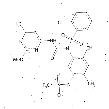 COc1nc(C)nc(NC(=O)N(c2cc(NS(=O)(=O)C(F)(F)F)c(C)cc2C)S(=O)(=O)c2ccccc2Cl)n1